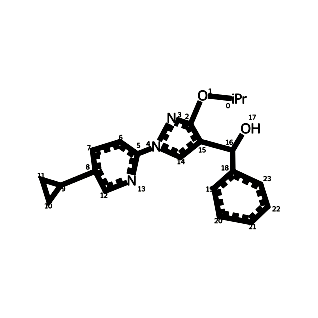 CC(C)Oc1nn(-c2ccc(C3CC3)cn2)cc1C(O)c1ccccc1